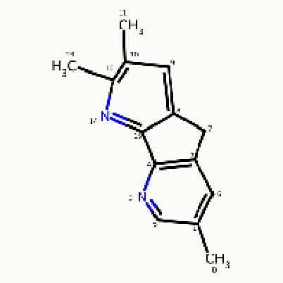 Cc1cnc2c(c1)Cc1cc(C)c(C)nc1-2